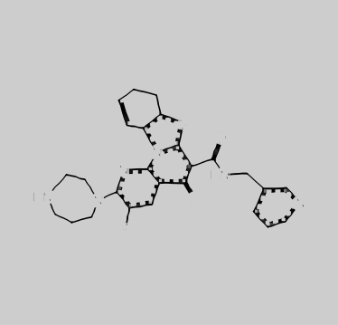 O=C(NCc1cccnc1)c1c(=O)c2cc(F)c(N3CCCNCC3)nc2n2c3c(sc12)CCC=C3